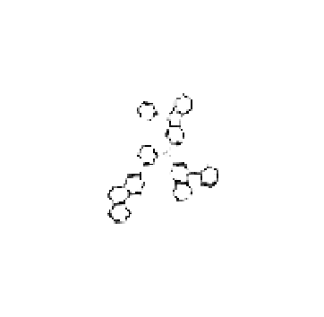 c1ccc(-n2c3ccccc3c3ccc(N(c4cccc(-c5ccc6c(ccc7ccccc76)c5)c4)c4cc5c6c(cccc6c4)-c4ccccc4-5)cc32)cc1